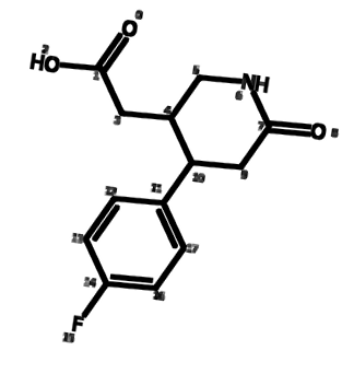 O=C(O)CC1CNC(=O)CC1c1ccc(F)cc1